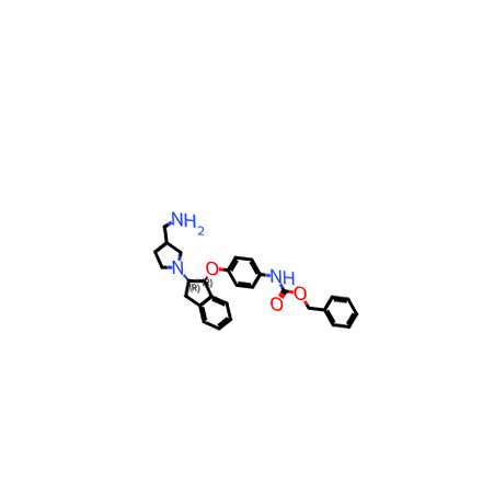 NCC1CCN([C@@H]2Cc3ccccc3[C@H]2Oc2ccc(NC(=O)OCc3ccccc3)cc2)C1